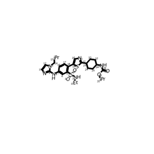 CCNS(=O)(=O)c1cc(Nc2nccn2CC(C)C)ccc1-c1cnc(C2CCC(NC(=O)OC(C)C)CC2)s1